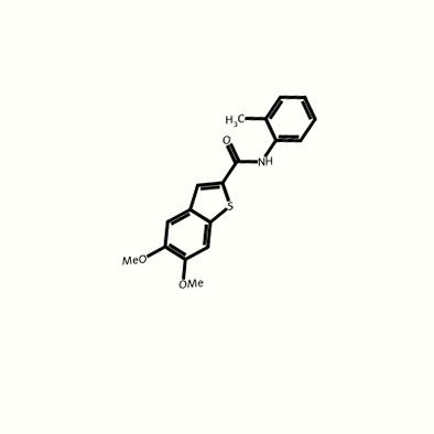 COc1cc2cc(C(=O)Nc3ccccc3C)sc2cc1OC